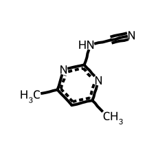 Cc1cc(C)nc(NC#N)n1